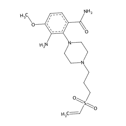 C=CS(=O)(=O)CCCN1CCN(c2c(C(N)=O)ccc(OC)c2N)CC1